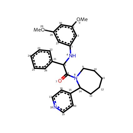 COc1cc(NC(C(=O)N2CCCCCC2c2ccncc2)c2ccccc2)cc(OC)c1